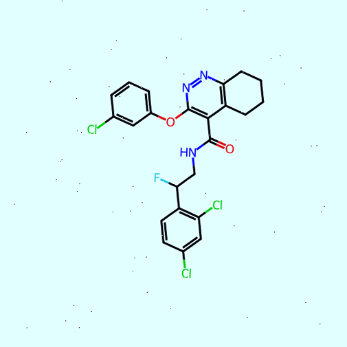 O=C(NCC(F)c1ccc(Cl)cc1Cl)c1c(Oc2cccc(Cl)c2)nnc2c1CCCC2